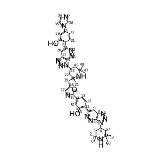 CC1(C)CC(n2nnc3cc(-c4ccc(-c5ncc(CC6(C)CC(n7nnc8cc(-c9ccc(-n%10ccnc%10)cc9O)nnc87)CC(C)(C)N6)o5)cc4O)nnc32)CC(C)(C)N1